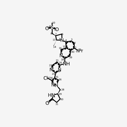 CC(C)c1ccc(N2C[C@H](CS(C)(=O)=O)[C@H]2C)c2cnc(Nc3ccnc(-c4cn(C[C@H]5CCC(=O)N5)nc4Cl)n3)cc12